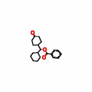 O=C1CCC(C(OC(=O)c2ccccc2)C2CCCCC2)CC1